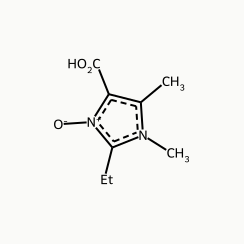 CCc1n(C)c(C)c(C(=O)O)[n+]1[O-]